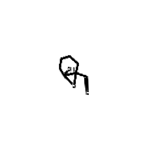 O=CC12CCCCC1(O)O2